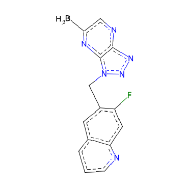 Bc1cnc2nnn(Cc3cc4cccnc4cc3F)c2n1